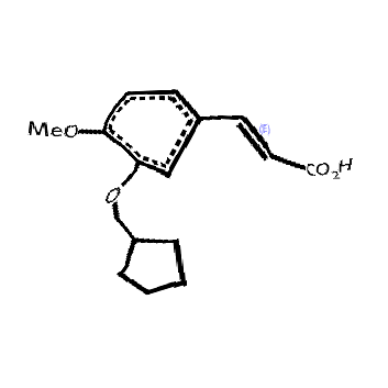 COc1ccc(/C=C/C(=O)O)cc1OC1CCCC1